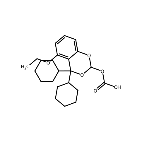 CCOc1cccc2c1C(C1CCCCC1)(C1CCCCC1)OC(OC(=O)O)O2